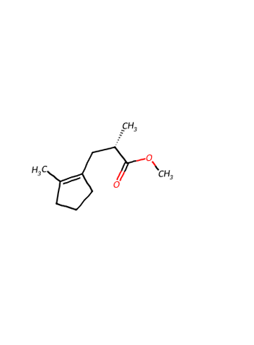 COC(=O)[C@@H](C)CC1=C(C)CCC1